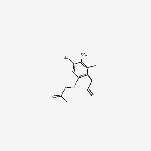 C=CCc1c(OCC(=C)C)cc(C(C)(C)C)c(OC(C)=O)c1C